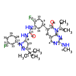 CNc1ncc2cc(-c3ccc(F)c(NC(=O)Nc4cc(C(C)(C)C)nn4-c4cccc(F)c4)c3)c(=O)n(C(C)C)c2n1